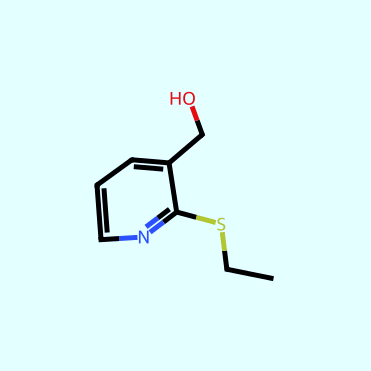 CCSc1ncccc1CO